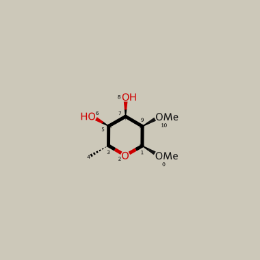 CO[C@H]1O[C@H](C)[C@@H](O)[C@@H](O)[C@H]1OC